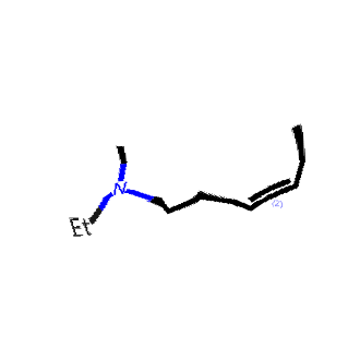 C/C=C\CCN(C)CC